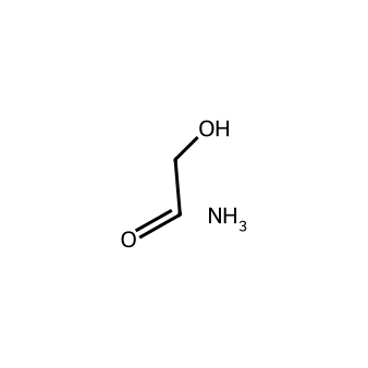 N.O=CCO